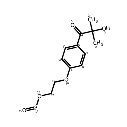 CC(C)(O)C(=O)c1ccc(OCCOP=O)cc1